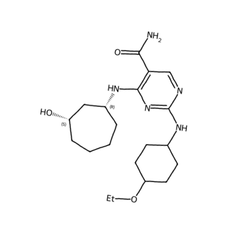 CCOC1CCC(Nc2ncc(C(N)=O)c(N[C@@H]3CCCC[C@H](O)C3)n2)CC1